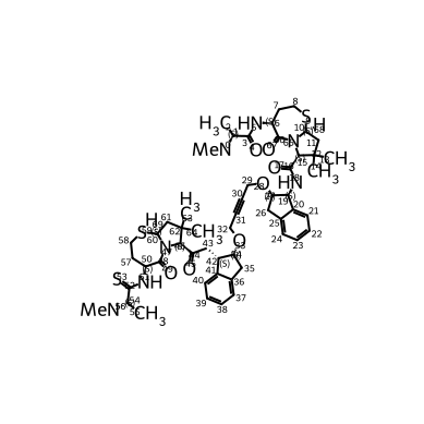 CN[C@@H](C)C(=O)N[C@H]1CCS[C@H]2CC(C)(C)[C@@H](C(=O)N[C@H]3c4ccccc4C[C@H]3OCC#CCO[C@@H]3Cc4ccccc4[C@@H]3CC(=O)[C@H]3N4C(=O)[C@@H](NC(=S)[C@H](C)NC)CCS[C@H]4CC3(C)C)N2C1=O